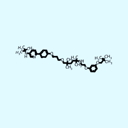 CC(C)(C)COc1cccc(OCCNC(C)(C)CCC(C)(C)COCCCOC2=CC=C(c3ccc(NC(C)(C)C)cn3)CC2)c1